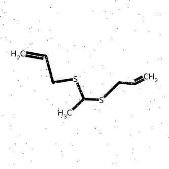 C=CCSC(C)SCC=C